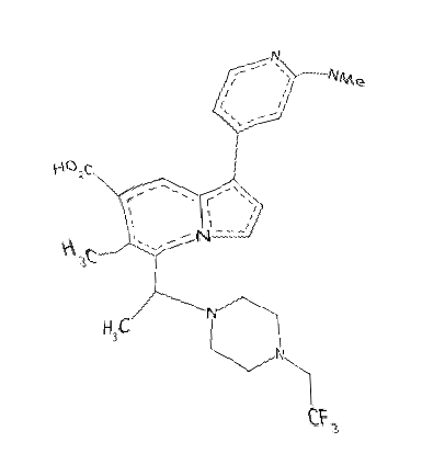 CNc1cc(-c2ccn3c(C(C)N4CCN(CC(F)(F)F)CC4)c(C)c(C(=O)O)cc23)ccn1